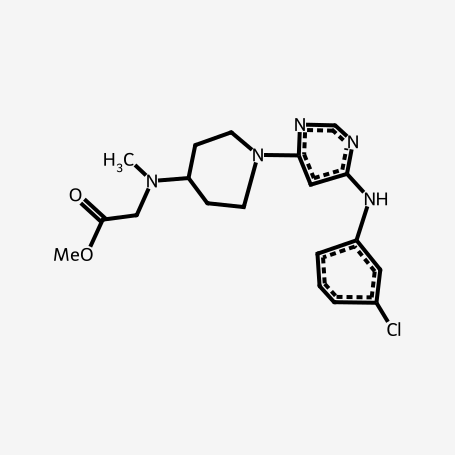 COC(=O)CN(C)C1CCN(c2cc(Nc3cccc(Cl)c3)ncn2)CC1